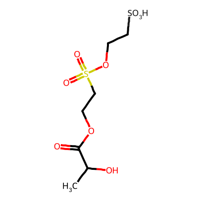 CC(O)C(=O)OCCS(=O)(=O)OCCS(=O)(=O)O